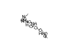 CCCc1cc(N[C@@H]2CCC(NC(=O)c3ccc(-c4ccc(CNC(=O)OC(C)(C)C)cc4)cc3)C2)n2nccc2n1